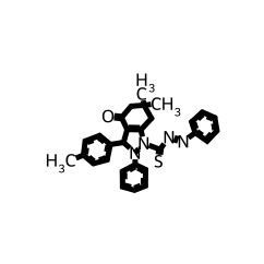 Cc1ccc(C2C3=C(CC(C)(C)CC3=O)N(C(=S)N=Nc3ccccc3)N2c2ccccc2)cc1